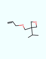 C=CCOCC1(C(C)C)COC1